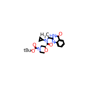 C[C@H](c1nc2ccccc2c(=O)[nH]1)N(C(=O)[C@H]1CN(C(=O)OC(C)(C)C)CCO1)C1CC1